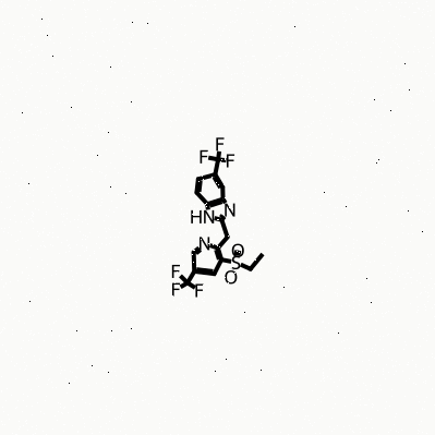 CCS(=O)(=O)c1cc(C(F)(F)F)cnc1Cc1nc2cc(C(F)(F)F)ccc2[nH]1